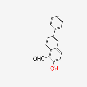 O=Cc1c(O)ccc2cc(-c3ccccc3)ccc12